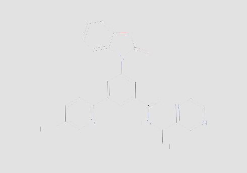 Cc1ccc(-c2cc(C(=O)NC(C)c3cnccn3)cc(-n3c(=O)oc4ccccc43)c2)nc1